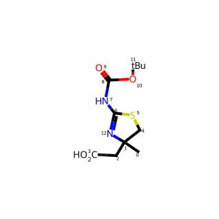 CC1(CC(=O)O)CSC(NC(=O)OC(C)(C)C)=N1